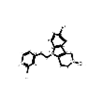 CN1CCc2c(c3cc(F)ccc3n2CCc2ccnc(F)c2)C1